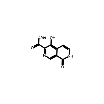 COC(=O)c1ncc2c(=O)[nH]ccc2c1O